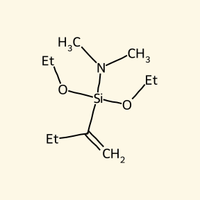 C=C(CC)[Si](OCC)(OCC)N(C)C